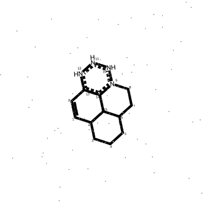 C1=CC2CCCC3CCn4[nH][nH][nH]c1c4C23